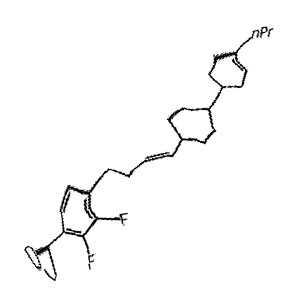 CCCC1=CCC(C2CCC(/C=C/CCc3ccc(C4CO4)c(F)c3F)CC2)CC1